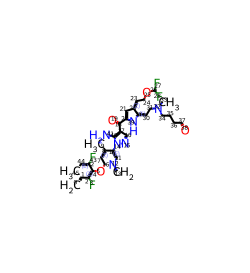 C=C/C(F)=C(OC/C=C(C)\C(=C/N=C)n1ncc(C(=O)c2cc(=C/COC(F)F)/c(=C\CN(C)CCCC=O)[nH]2)c1N)\C(F)=C/C